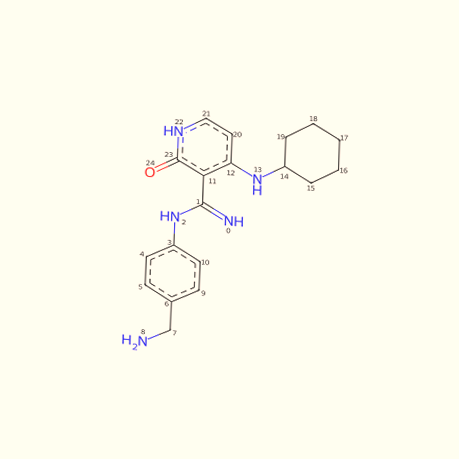 N=C(Nc1ccc(CN)cc1)c1c(NC2CCCCC2)cc[nH]c1=O